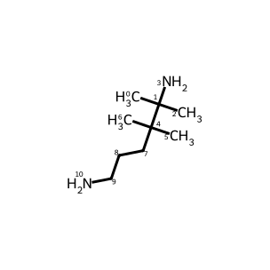 CC(C)(N)C(C)(C)CCCN